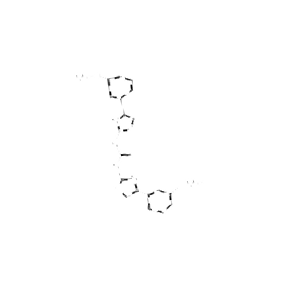 COc1cccc(-c2csc(NC(=O)Nc3nc(-c4cccc(OC)c4)cs3)n2)c1